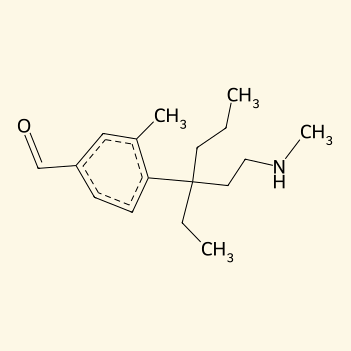 CCCC(CC)(CCNC)c1ccc(C=O)cc1C